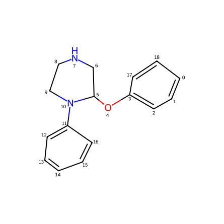 c1ccc(OC2CNCCN2c2ccccc2)cc1